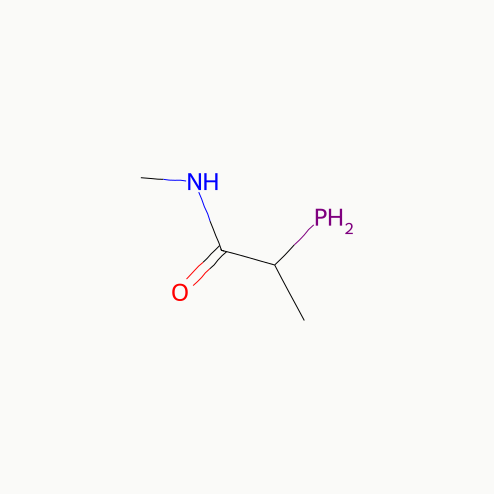 CNC(=O)C(C)P